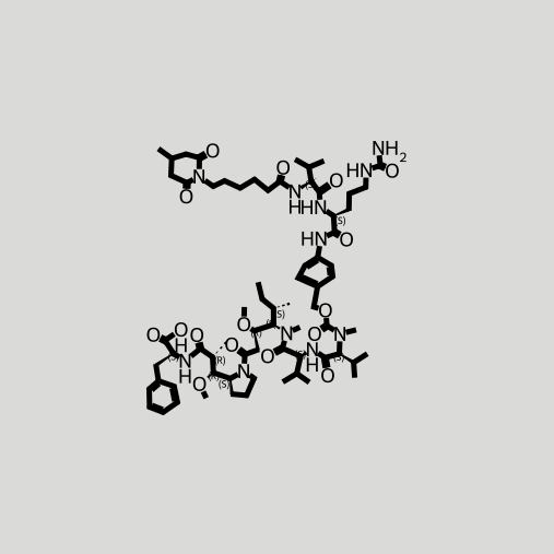 CC[C@H](C)[C@@H]([C@@H](CC(=O)N1CCC[C@H]1[C@H](OC)[C@@H](C)C(=O)N[C@@H](Cc1ccccc1)C(=O)O)OC)N(C)C(=O)[C@@H](NC(=O)[C@H](C(C)C)N(C)C(=O)OCc1ccc(NC(=O)[C@H](CCCNC(N)=O)NC(=O)[C@@H](NC(=O)CCCCCN2C(=O)CC(C)CC2=O)C(C)C)cc1)C(C)C